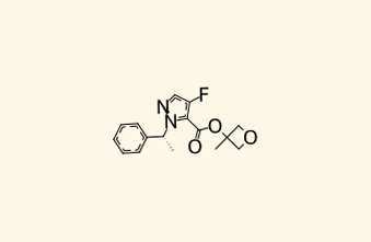 C[C@H](c1ccccc1)n1ncc(F)c1C(=O)OC1(C)COC1